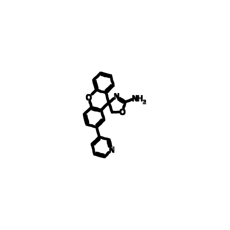 NC1=NC2(CO1)c1ccccc1Oc1ccc(-c3cccnc3)cc12